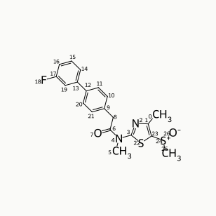 Cc1nc(N(C)C(=O)Cc2ccc(-c3cccc(F)c3)cc2)sc1[S+](C)[O-]